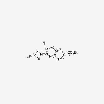 CCOC(=O)c1cnc2cc(N3CC(F)C3)c(F)cc2c1